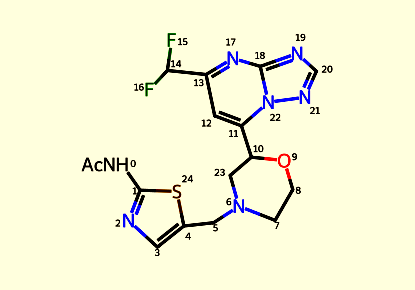 CC(=O)Nc1ncc(CN2CCOC(c3cc(C(F)F)nc4ncnn34)C2)s1